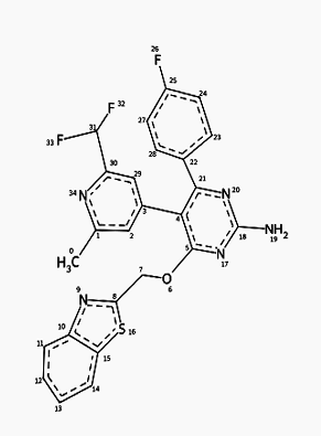 Cc1cc(-c2c(OCc3nc4ccccc4s3)nc(N)nc2-c2ccc(F)cc2)cc(C(F)F)n1